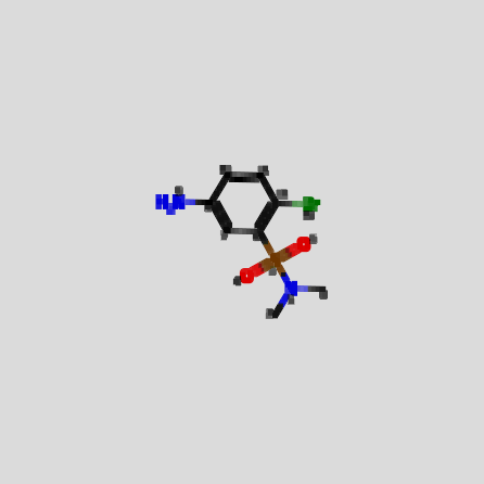 CN(C)S(=O)(=O)c1cc(N)ccc1Br